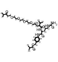 CC(C)C(=O)CCOCCOCCOCCOCCN[C@H](C(=O)N[C@@H](CCCNC(N)=O)C(=O)Nc1ccc(COC(=O)C(C)C)cc1)C(C)C